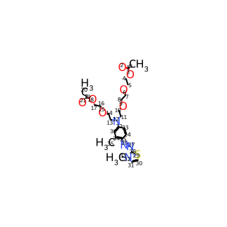 CC(=O)OCCOCCOCCN(CCOCCOC(C)=O)c1ccc(/N=N/c2scc[n+]2C)c(C)c1